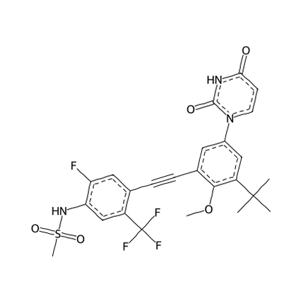 COc1c(C#Cc2cc(F)c(NS(C)(=O)=O)cc2C(F)(F)F)cc(-n2ccc(=O)[nH]c2=O)cc1C(C)(C)C